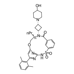 CCC[C@@H]1COc2cc(-c3c(C)cccc3C)nc(n2)NS(=O)(=O)c2cccc(c2)C(=O)N1[C@H]1C[C@@H](N2CCC(O)CC2)C1